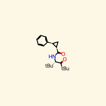 CC(C)(C)C(=O)[C@@H](NC(=O)[C@@H]1C[C@@H]1c1ccccc1)C(C)(C)C